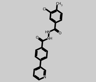 Cc1ccc(C(=O)NNC(=O)c2ccc(-c3cccnc3)cc2)cc1Cl